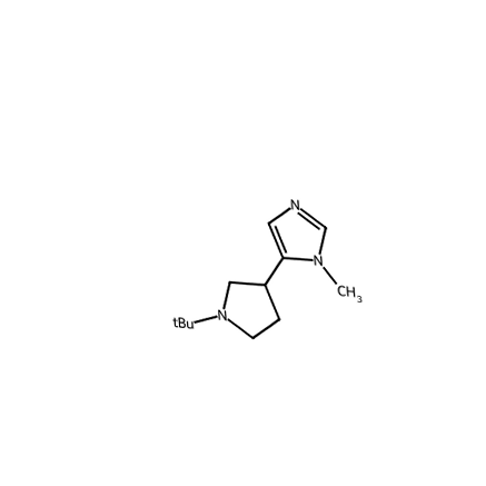 Cn1cncc1C1CCN(C(C)(C)C)C1